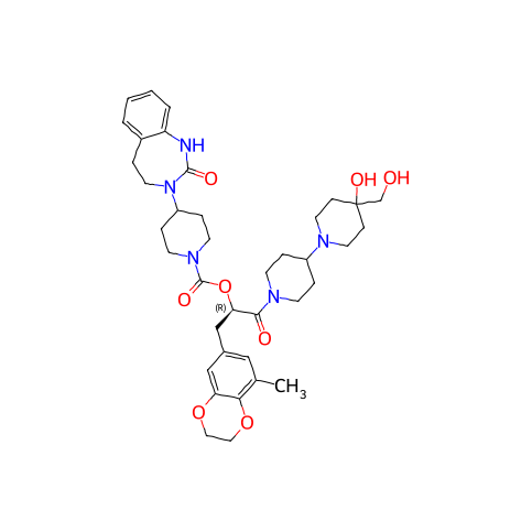 Cc1cc(C[C@@H](OC(=O)N2CCC(N3CCc4ccccc4NC3=O)CC2)C(=O)N2CCC(N3CCC(O)(CO)CC3)CC2)cc2c1OCCO2